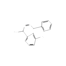 CNC(/N=N\Cc1ccccc1)c1cccc(C#N)c1